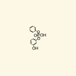 O=P(O)(Oc1ccccc1)Oc1cccc(O)c1